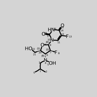 CC(C)CN(O)[C@H]1[C@H](F)[C@H](n2cc(F)c(=O)[nH]c2=O)O[C@@H]1CO